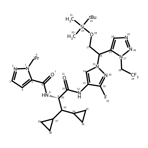 CC(C)n1nccc1C(=O)N[C@H](C(=O)Nc1cn(C(CO[Si](C)(C)C(C)(C)C)c2cnnn2CC(F)(F)F)nc1F)C(C1CC1)C1CC1